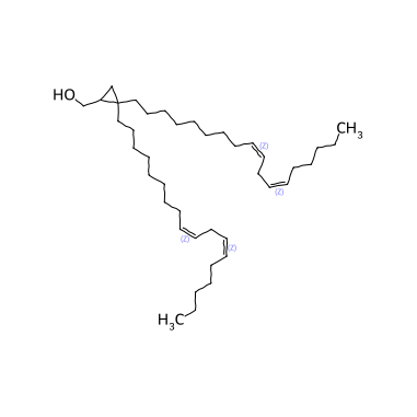 CCCCC/C=C\C/C=C\CCCCCCCCC1(CCCCCCCC/C=C\C/C=C\CCCCC)CC1CO